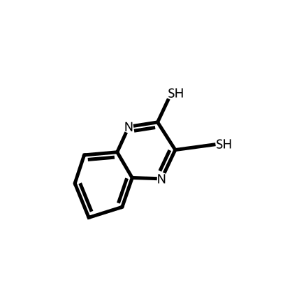 Sc1nc2ccccc2nc1S